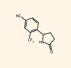 N#Cc1ccc(N2CCC(=O)N2)c(C(F)(F)F)c1